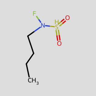 CCCCN(F)[SH](=O)=O